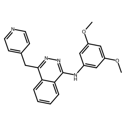 COc1cc(Nc2nnc(Cc3ccncc3)c3ccccc23)cc(OC)c1